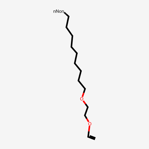 C=COCCOCCCCCCCCCCCCCCCCCC